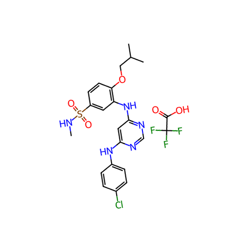 CNS(=O)(=O)c1ccc(OCC(C)C)c(Nc2cc(Nc3ccc(Cl)cc3)ncn2)c1.O=C(O)C(F)(F)F